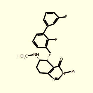 CC(C)n1cnc2c(c1=O)[C@@H](Cc1cccc(-c3cccc(F)c3)c1F)[C@@H](NC(=O)O)CC2